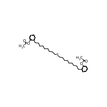 CC(=O)Oc1ccccc1CCCCCCCCCSCCCCCCCCCc1ccccc1OC(C)=O